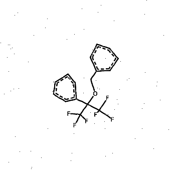 FC(F)(F)C(OCc1ccccc1)(c1cc[c]cc1)C(F)(F)F